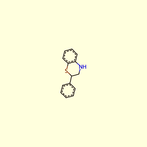 c1ccc(C2CNc3ccccc3S2)cc1